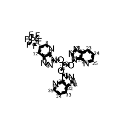 F[P-](F)(F)(F)(F)F.c1cnc2c(c1)nnn2O[P+](On1nnc2cccnc21)On1nnc2cccnc21